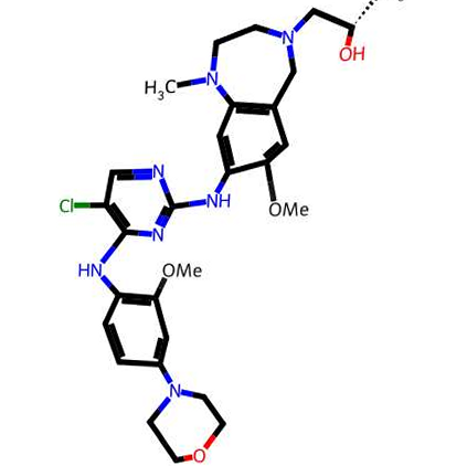 COc1cc2c(cc1Nc1ncc(Cl)c(Nc3ccc(N4CCOCC4)cc3OC)n1)N(C)CCN(C[C@@H](O)C(F)(F)F)C2